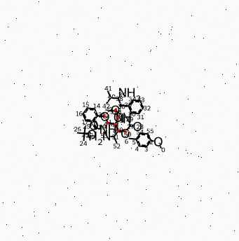 COc1ccc(C[C@H](C[C@H](O)[C@H](Cc2ccccc2)NC(=O)OC(C)(C)C)C(=O)N(c2ccccc2C(=O)C(N)C(C)C)N2CCOCC2C(=O)C(C)N)cc1